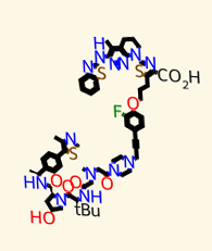 Cc1ncsc1-c1ccc([C@H](C)NC(=O)[C@@H]2C[C@@H](O)CN2C(=O)[C@@H](NC(=O)CN(C)CC(=O)N2CCN(CC#Cc3ccc(OCCCc4sc(N5CCCc6c5nnc(Nc5nc7ccccc7s5)c6C)nc4C(=O)O)c(F)c3)CC2)C(C)(C)C)cc1